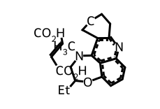 CCC1CN(C)c2c3c(nc4cccc(c24)O1)CCCC3.O=C(O)C=CC(=O)O